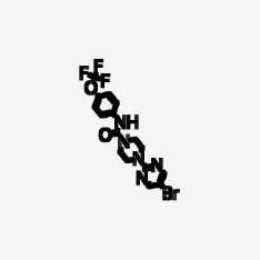 O=C(Nc1ccc(OC(F)(F)F)cc1)N1CCN(c2ncc(Br)cn2)CC1